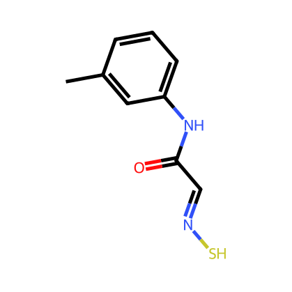 Cc1cccc(NC(=O)C=NS)c1